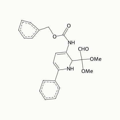 COC(C=O)(OC)C1NC(c2ccccc2)=CC=C1NC(=O)OCc1ccccc1